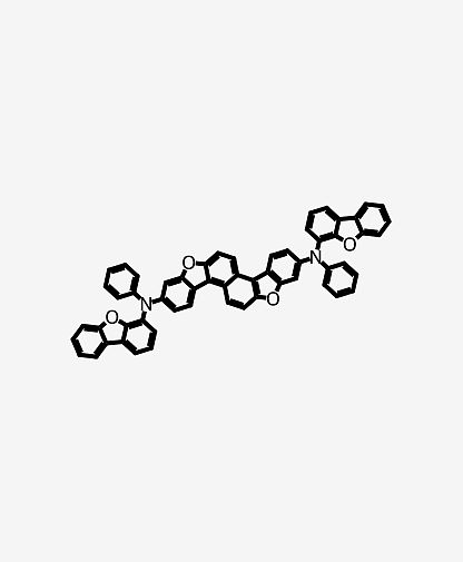 c1ccc(N(c2ccc3c(c2)oc2ccc4c(ccc5oc6cc(N(c7ccccc7)c7cccc8c7oc7ccccc78)ccc6c54)c23)c2cccc3c2oc2ccccc23)cc1